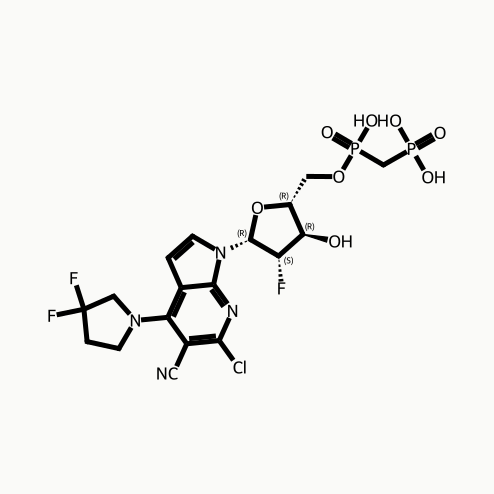 N#Cc1c(Cl)nc2c(ccn2[C@@H]2O[C@H](COP(=O)(O)CP(=O)(O)O)[C@@H](O)[C@@H]2F)c1N1CCC(F)(F)C1